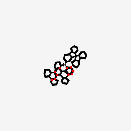 c1ccc(-c2ccccc2-c2c(-c3ccccc3)cccc2-c2ccccc2N(c2cccc(-c3cccc4ccccc34)c2)c2ccc3c(c2)C2(c4ccccc4-c4ccccc42)c2ccccc2-3)cc1